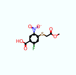 COC(=O)CSc1cc(F)c(C(=O)O)cc1[N+](=O)[O-]